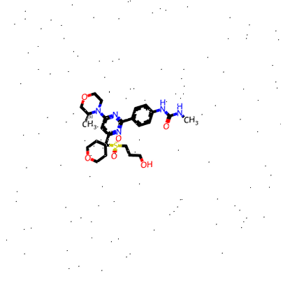 CNC(=O)Nc1ccc(-c2nc(N3CCOC[C@@H]3C)cc(C3(S(=O)(=O)CCCO)CCOCC3)n2)cc1